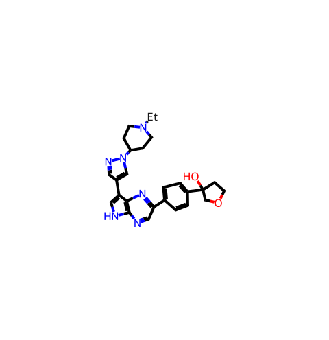 CCN1CCC(n2cc(-c3c[nH]c4ncc(-c5ccc(C6(O)CCOC6)cc5)nc34)cn2)CC1